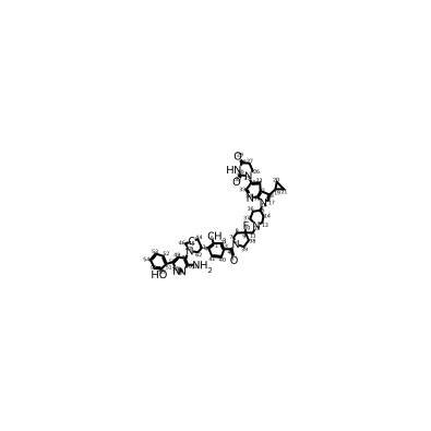 Cc1cc(C(=O)N2CCC(F)(CN3CCC(n4cc(C5CC5)c5cc(N6CCC(=O)NC6=O)cnc54)CC3)CC2)ccc1[C@H]1CCCN(c2cc(-c3ccccc3O)nnc2N)C1